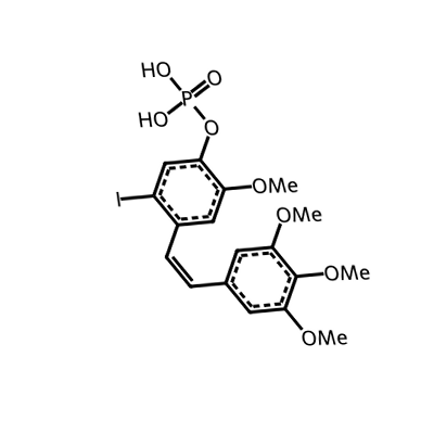 COc1cc(/C=C\c2cc(OC)c(OC)c(OC)c2)c(I)cc1OP(=O)(O)O